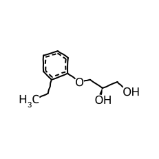 CCc1ccccc1OC[C@H](O)CO